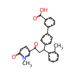 Cc1ccccc1C(CC(=O)c1ccc(=O)n(C)c1)c1ccc(-c2cccc(C(=O)O)c2)cc1